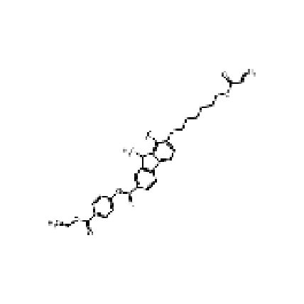 C=COC(=O)c1ccc(OC(=O)c2ccc3c(c2)C(C)c2c-3ccc(OCCCCCCOC(=O)C=C)c2C)cc1